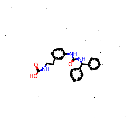 O=C(O)NCCc1cccc(NC(=O)NC(c2ccccc2)c2ccccc2)c1